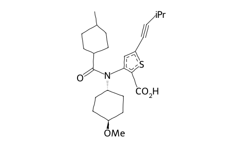 CO[C@H]1CC[C@H](N(C(=O)C2CCC(C)CC2)c2cc(C#CC(C)C)sc2C(=O)O)CC1